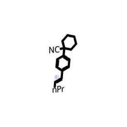 CCC/C=C/c1ccc(C2(C#N)CCCCC2)cc1